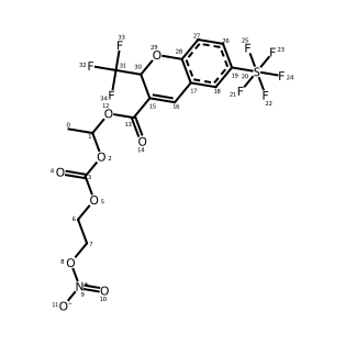 CC(OC(=O)OCCO[N+](=O)[O-])OC(=O)C1=Cc2cc(S(F)(F)(F)(F)F)ccc2OC1C(F)(F)F